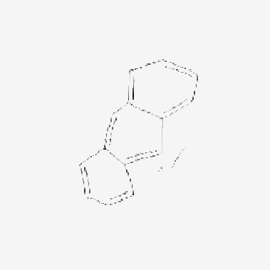 CC(C)=O.c1ccc2cc3ccccc3cc2c1